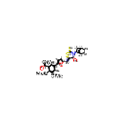 COC(=O)c1cc(-c2ccc(/C=C3\SC(=S)N(C4CC5CCC4C5)C3=O)o2)cc(OC)c1OC